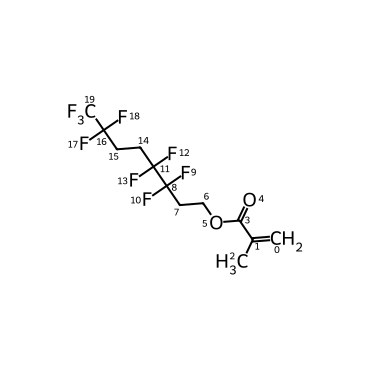 C=C(C)C(=O)OCCC(F)(F)C(F)(F)CCC(F)(F)C(F)(F)F